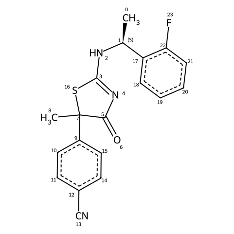 C[C@H](NC1=NC(=O)C(C)(c2ccc(C#N)cc2)S1)c1ccccc1F